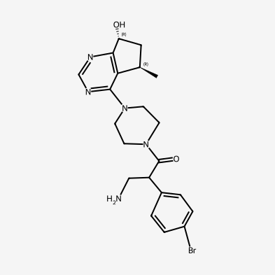 C[C@@H]1C[C@@H](O)c2ncnc(N3CCN(C(=O)C(CN)c4ccc(Br)cc4)CC3)c21